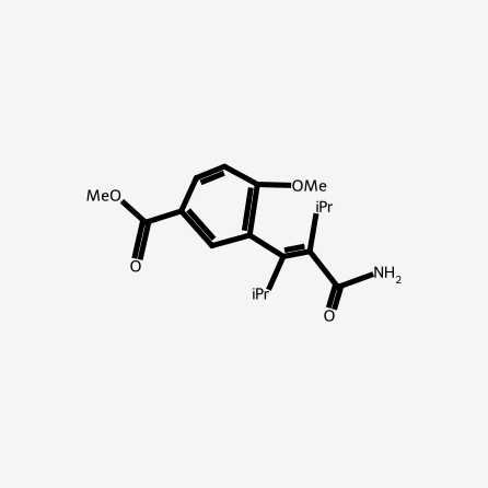 COC(=O)c1ccc(OC)c(C(=C(C(N)=O)C(C)C)C(C)C)c1